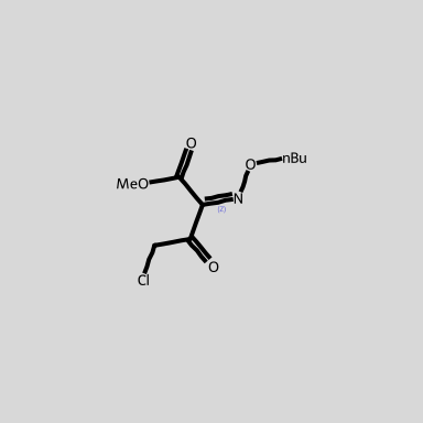 CCCCO/N=C(/C(=O)CCl)C(=O)OC